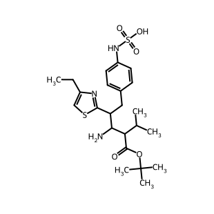 CCc1csc(C(Cc2ccc(NS(=O)(=O)O)cc2)C(N)C(C(=O)OC(C)(C)C)C(C)C)n1